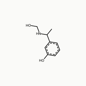 CC(NCO)c1cccc(O)c1